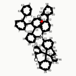 c1ccc(-c2ccccc2-c2ccccc2-c2ccccc2N(c2ccc3c(c2)C2(c4ccccc4Oc4ccccc42)c2ccccc2-3)c2ccc3c(c2)oc2ccccc23)cc1